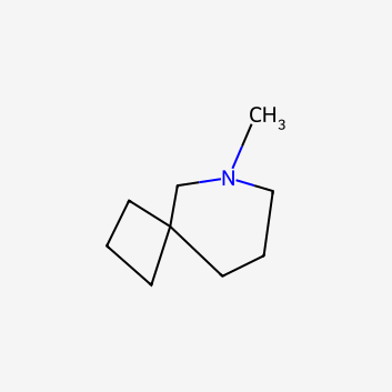 CN1CCCC2(CCC2)C1